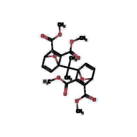 COC(=O)C1=C(C(=O)OC)C2(C(C)(C)C34C=CC(O3)C(C(=O)OC)=C4C(=O)OC)C=CC1O2